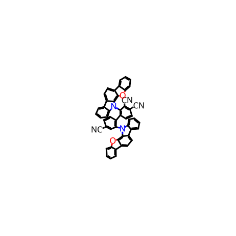 N#Cc1ccc(-c2ccc(C#N)c(C#N)c2-n2c3ccccc3c3ccc4c5ccccc5oc4c32)c(-n2c3ccccc3c3ccc4c5ccccc5oc4c32)c1